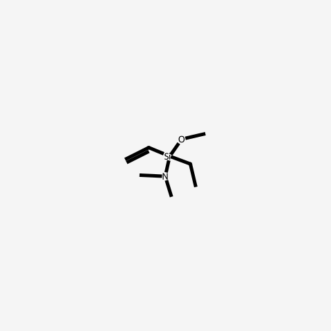 C=C[Si](CC)(OC)N(C)C